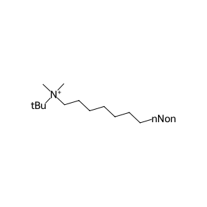 CCCCCCCCCCCCCCCC[N+](C)(C)C(C)(C)C